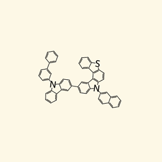 c1ccc(-c2cccc(-n3c4ccccc4c4cc(-c5ccc6c(c5)c5c7c(ccc5n6-c5ccc6ccccc6c5)sc5ccccc57)ccc43)c2)cc1